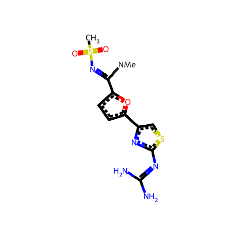 CNC(=NS(C)(=O)=O)c1ccc(-c2csc(N=C(N)N)n2)o1